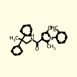 Cc1cc(C(=O)NCC(C)(c2ccccc2)c2ccccc2)c(C)n1-c1ccccc1C(F)(F)F